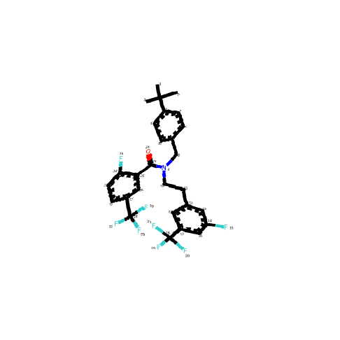 CC(C)(C)c1ccc(CN(CCc2cc(F)cc(C(F)(F)F)c2)C(=O)c2cc(C(F)(F)F)ccc2F)cc1